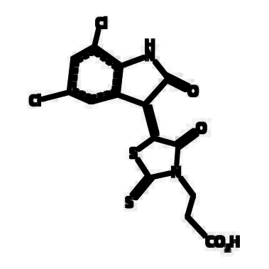 O=C(O)CCN1C(=O)/C(=C2\C(=O)Nc3c(Cl)cc(Cl)cc32)SC1=S